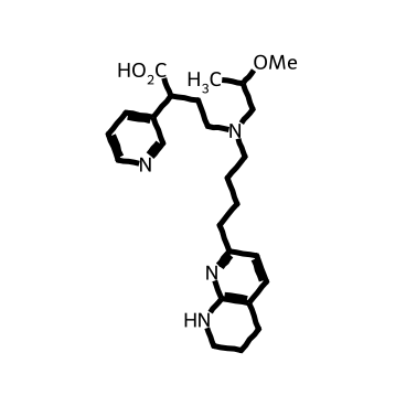 COC(C)CN(CCCCc1ccc2c(n1)NCCC2)CCC(C(=O)O)c1cccnc1